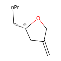 C=C1CO[C@@H](CCCC)C1